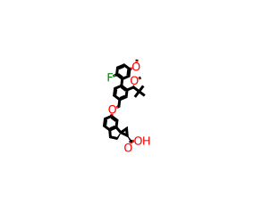 COc1ccc(F)c(-c2ccc(COc3ccc4c(c3)[C@]3(CC4)C[C@H]3C(=O)O)cc2[C@H](OC)C(C)(C)C)c1